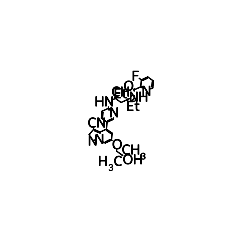 C=C(CC(CC)(CC)NC(=O)c1ncccc1F)Nc1ccc(-c2cc(OCC(C)(C)O)cn3ncc(C#N)c23)cn1